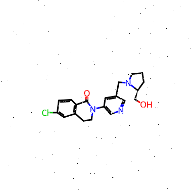 O=C1c2ccc(Cl)cc2CCN1c1cncc(CN2CCC[C@H]2CO)c1